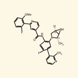 COc1cccc(F)c1-c1nccc(C(=O)Nc2cc(F)c(-c3cccnc3C)cc2N2C[C@H]3NC3[C@@H]2C)n1